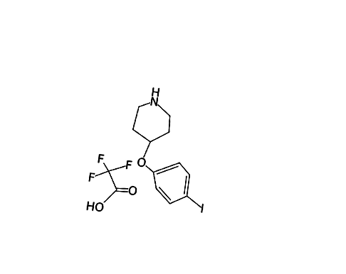 Ic1ccc(OC2CCNCC2)cc1.O=C(O)C(F)(F)F